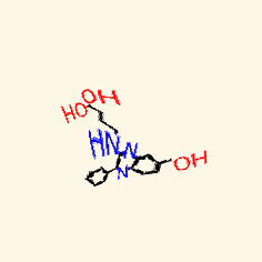 OCc1ccc2nc(-c3ccccc3)c(NCCCC(O)O)nc2c1